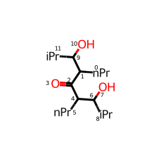 CCCC(C(=O)C(CCC)C(O)C(C)C)C(O)C(C)C